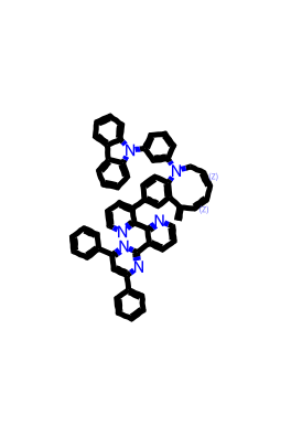 C=C1/C=C\C=C/CN(c2cccc(-n3c4ccccc4c4ccccc43)c2)c2ccc(-c3cccnc3-c3ncccc3-c3nc(-c4ccccc4)cc(-c4ccccc4)n3)cc21